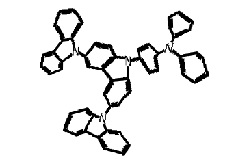 c1ccc(N(c2ccccc2)c2ccc(-n3c4ccc(-n5c6ccccc6c6ccccc65)cc4c4cc(-n5c6ccccc6c6ccccc65)ccc43)cc2)cc1